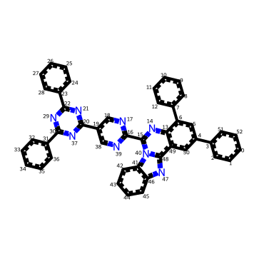 c1ccc(-c2cc(-c3ccccc3)c3nc(-c4ncc(-c5nc(-c6ccccc6)nc(-c6ccccc6)n5)cn4)n4c5ccccc5nc4c3c2)cc1